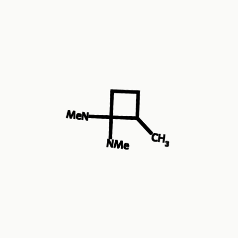 CNC1(NC)CCC1C